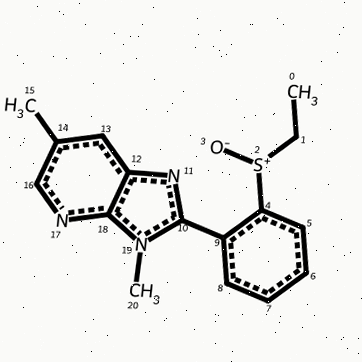 CC[S+]([O-])c1ccccc1-c1nc2cc(C)cnc2n1C